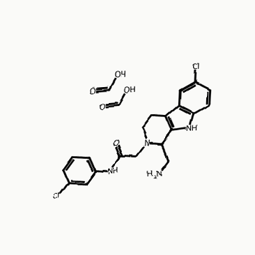 NCC1c2[nH]c3ccc(Cl)cc3c2CCN1CC(=O)Nc1cccc(Cl)c1.O=CO.O=CO